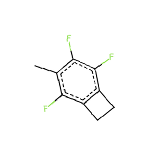 Cc1c(F)c(F)c2c(c1F)CC2